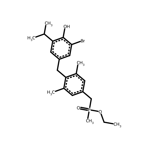 CCOP(C)(=O)Cc1cc(C)c(Cc2cc(Br)c(O)c(C(C)C)c2)c(C)c1